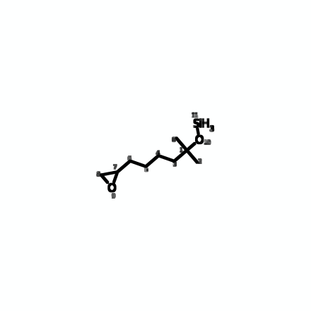 CC(C)(CCCCC1CO1)O[SiH3]